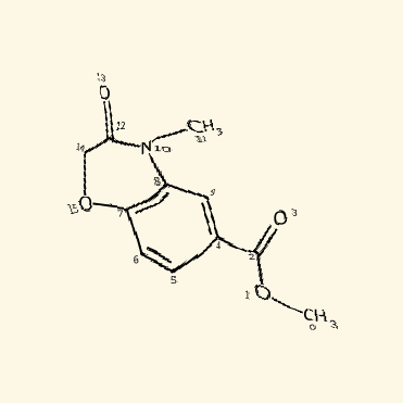 COC(=O)c1ccc2c(c1)N(C)C(=O)CO2